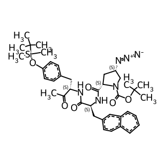 CC(=O)[C@H](Cc1ccc(O[Si](C)(C)C(C)(C)C)cc1)NC(=O)[C@H](Cc1ccc2ccccc2c1)NC(=O)[C@@H]1C[C@H](N=[N+]=[N-])CN1C(=O)OC(C)(C)C